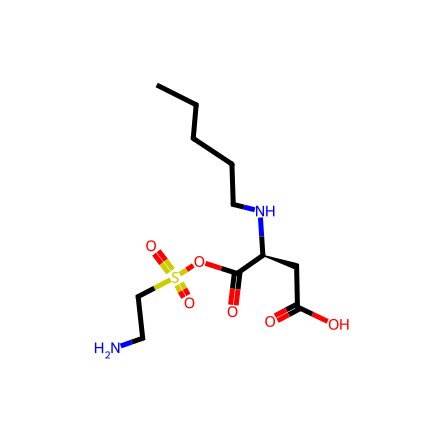 CCCCCN[C@@H](CC(=O)O)C(=O)OS(=O)(=O)CCN